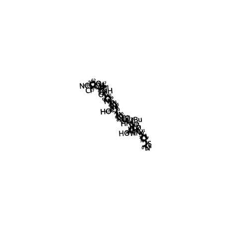 Cc1ncsc1-c1ccc([C@H](C)NC(=O)[C@H]2C[C@@H](O)CN2C(=O)C(NC(=O)CN2CCN(CCN3CCN(c4ccc(C(=O)N[C@H]5C(C)(C)[C@H](Oc6ccc(C#N)c(Cl)c6)C5(C)C)cn4)C[C@H]3CO)CC2)C(C)(C)C)cc1